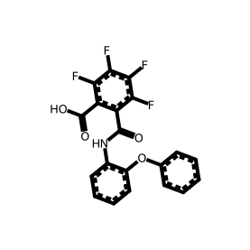 O=C(O)c1c(F)c(F)c(F)c(F)c1C(=O)Nc1ccccc1Oc1ccccc1